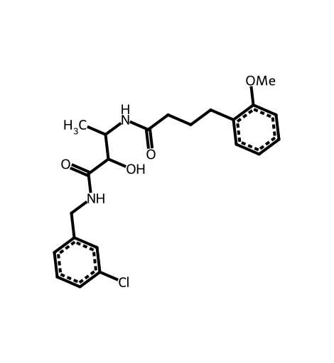 COc1ccccc1CCCC(=O)NC(C)C(O)C(=O)NCc1cccc(Cl)c1